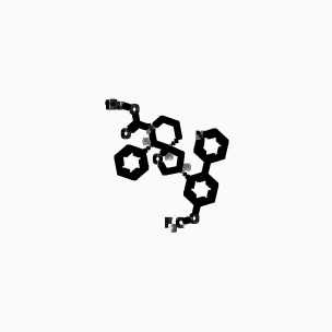 CC(C)(C)OC(=O)N1CCC[C@@]2(C[C@H](c3cc(OC(F)(F)F)ccc3-c3cccnc3)CO2)[C@@H]1c1ccccc1